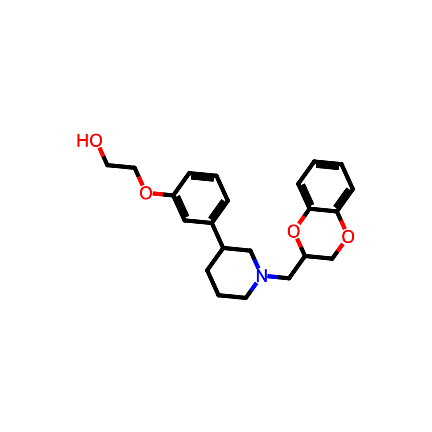 OCCOc1cccc(C2CCCN(CC3COc4ccccc4O3)C2)c1